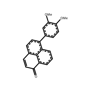 COc1ccc(-c2ccc3c4c(cccc24)C(=O)C=C3)cc1OC